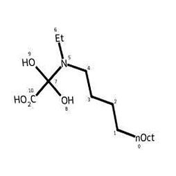 CCCCCCCCCCCCN(CC)C(O)(O)C(=O)O